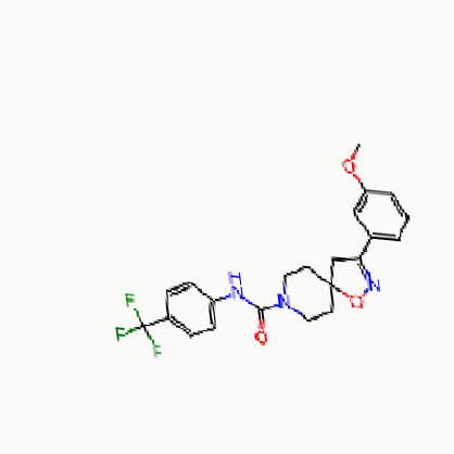 COc1cccc(C2=NOC3(CCN(C(=O)Nc4ccc(C(F)(F)F)cc4)CC3)C2)c1